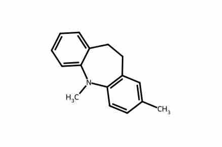 Cc1ccc2c(c1)CCc1ccccc1N2C